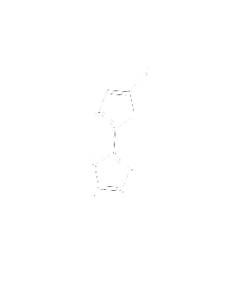 Brc1ccc(-c2nnn[nH]2)o1